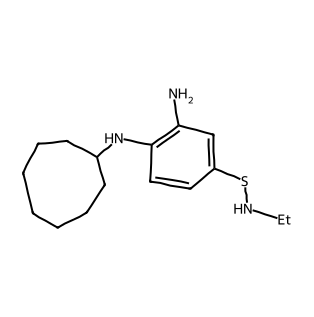 CCNSc1ccc(NC2CCCCCCC2)c(N)c1